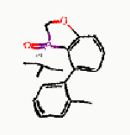 Cc1ccccc1-c1cccc2c1[P@@](=O)(C(C)(C)C)CO2